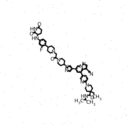 CCC1(C(=O)NC(C)C)CCN(c2ccc(-c3cc(-c4cnn(C5CCN(C(=O)CN6CCC(c7ccc(NC8CCC(=O)NC8=O)cc7F)CC6)CC5)c4)cn4ncc(C#N)c34)cn2)CC1